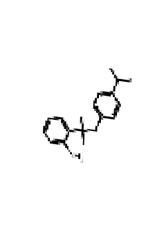 CC(C)c1ccc(CC(C)(C)c2ccccc2N)cc1